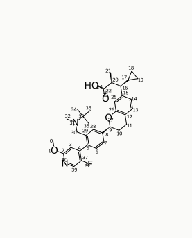 COc1cc(-c2ccc([C@@H]3CCc4ccc([C@H](C5CC5)[C@H](C)C(=O)O)cc4O3)cc2CN(C)C(C)(C)C)c(F)cn1